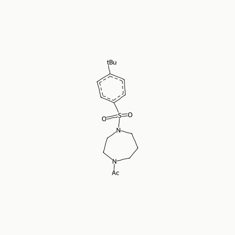 CC(=O)N1CCCN(S(=O)(=O)c2ccc(C(C)(C)C)cc2)CC1